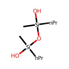 CCC[Si](C)(O)O[Si](C)(O)CCC